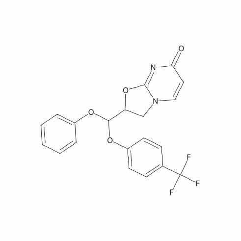 O=c1ccn2c(n1)OC(C(Oc1ccccc1)Oc1ccc(C(F)(F)F)cc1)C2